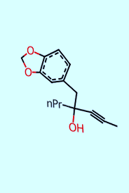 CC#CC(O)(CCC)Cc1ccc2c(c1)OCO2